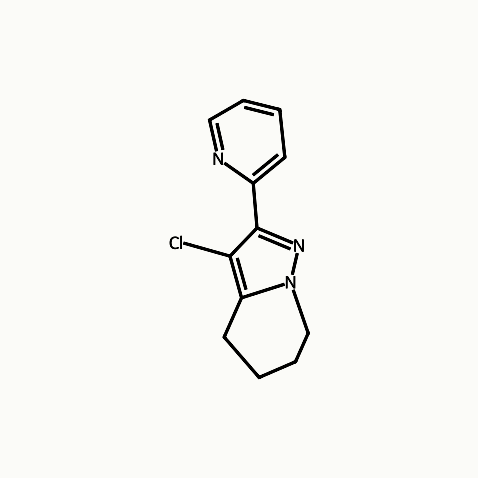 Clc1c(-c2ccccn2)nn2c1CCCC2